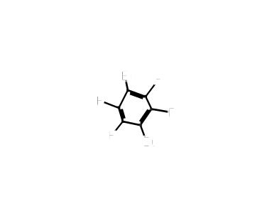 CCc1c(F)c(F)c(CC)c(F)c1F